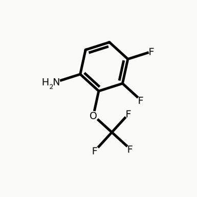 Nc1ccc(F)c(F)c1OC(F)(F)F